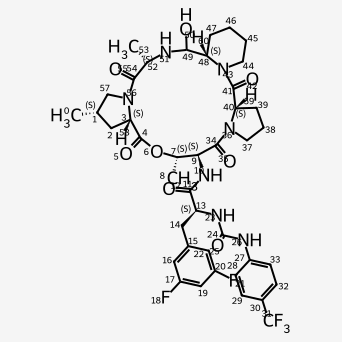 C[C@H]1C[C@H]2C(=O)O[C@@H](C)[C@H](NC(=O)[C@H](Cc3cc(F)cc(F)c3)NC(=O)Nc3ccc(C(F)(F)F)cc3)C(=O)N3CCC[C@H]3C(=O)N3CCCC[C@H]3C(O)N[C@@H](C)C(=O)N2C1